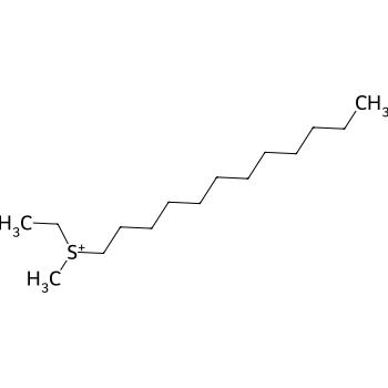 CCCCCCCCCCCC[S+](C)CC